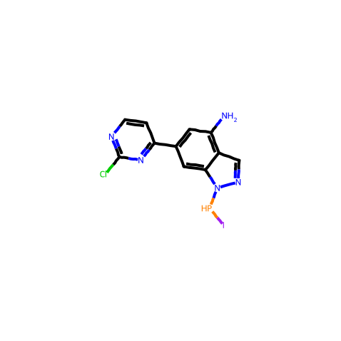 Nc1cc(-c2ccnc(Cl)n2)cc2c1cnn2PI